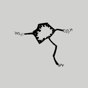 CC(C)CCc1cc(C(=O)O)ccc1C(=O)O